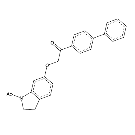 CC(=O)N1CCc2ccc(OCC(=O)c3ccc(-c4ccccc4)cc3)cc21